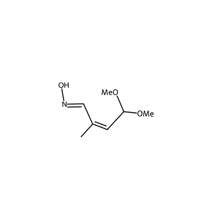 COC(C=C(C)C=NO)OC